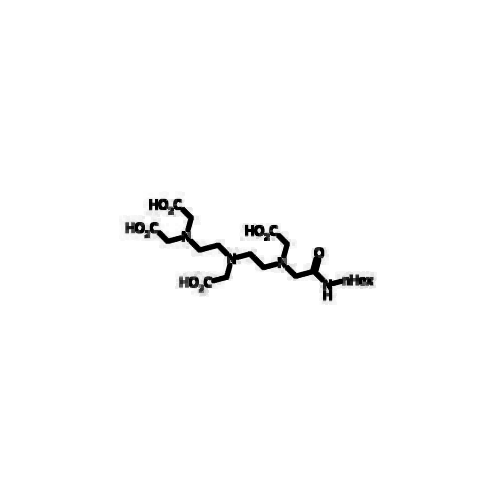 CCCCCCNC(=O)CN(CCN(CCN(CC(=O)O)CC(=O)O)CC(=O)O)CC(=O)O